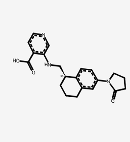 O=C(O)c1ccncc1NC[C@@H]1CCCc2cc(N3CCCC3=O)ccc21